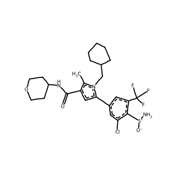 Cc1c(C(=O)NC2CCOCC2)cc(-c2cc(Cl)c([S+](N)[O-])c(C(F)(F)F)c2)n1CC1CCCCC1